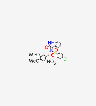 COc1cc(CCN([C@@H](C(N)=O)c2ccccc2)S(=O)(=O)c2ccc(Cl)cc2)c([N+](=O)[O-])cc1OC